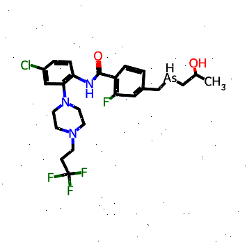 CC(O)C[AsH]Cc1ccc(C(=O)Nc2ccc(Cl)cc2N2CCN(CCC(F)(F)F)CC2)c(F)c1